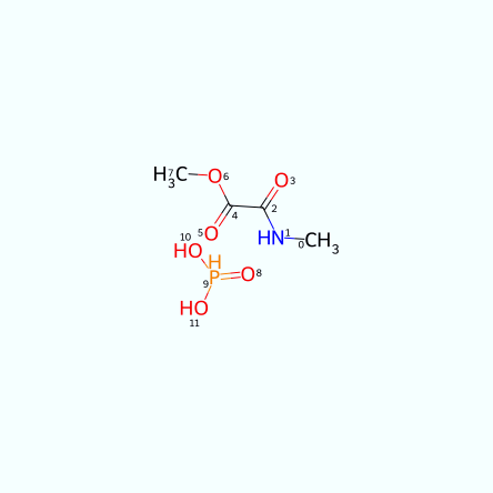 CNC(=O)C(=O)OC.O=[PH](O)O